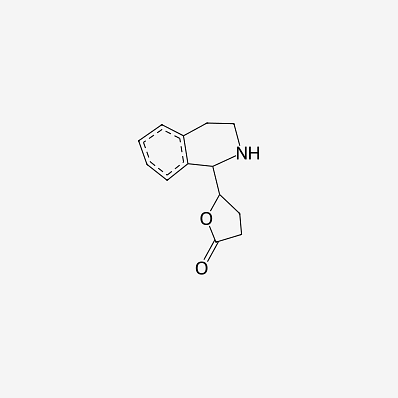 O=C1CCC(C2NCCc3ccccc32)O1